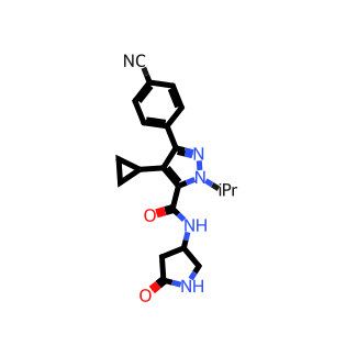 CC(C)n1nc(-c2ccc(C#N)cc2)c(C2CC2)c1C(=O)NC1CNC(=O)C1